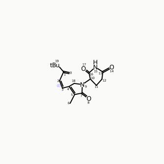 C=C(/C=C\C1=C(C)C(=O)N(C2CCC(=O)NC2=O)C1)C(C)(C)C